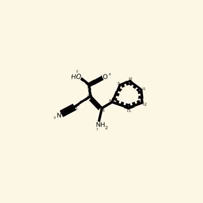 N#CC(C(=O)O)=C(N)c1ccccc1